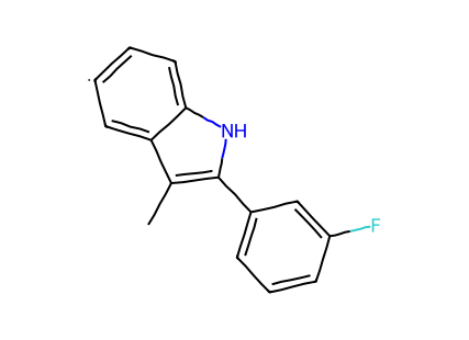 Cc1c(-c2cccc(F)c2)[nH]c2cc[c]cc12